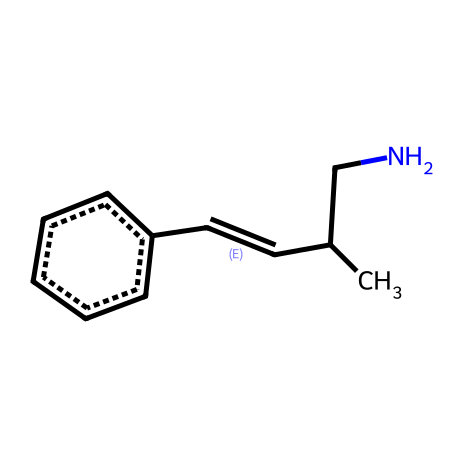 CC(/C=C/c1ccccc1)CN